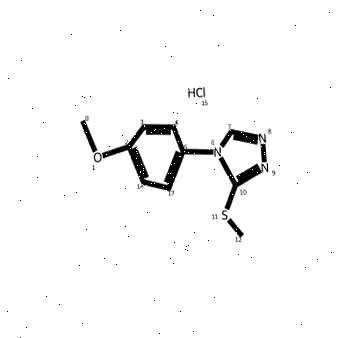 COc1ccc(-n2cnnc2SC)cc1.Cl